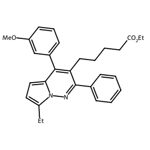 CCOC(=O)CCCCc1c(-c2ccccc2)nn2c(CC)ccc2c1-c1cccc(OC)c1